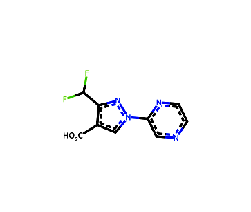 O=C(O)c1cn(-c2cnccn2)nc1C(F)F